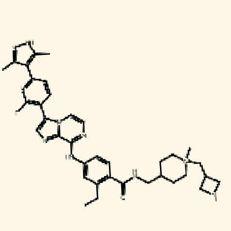 CCc1cc(Nc2nccn3c(-c4ccc(-c5c(C)n[nH]c5C)nc4F)cnc23)ccc1C(=O)NCC1CC[N+](C)(CC2CNC2)CC1